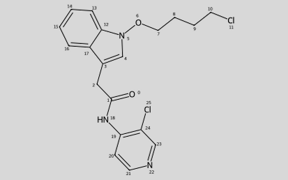 O=C(Cc1cn(OCCCCCl)c2ccccc12)Nc1ccncc1Cl